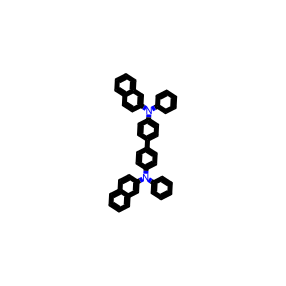 C1=CCC(N(c2ccc(-c3ccc(N(c4ccccc4)c4ccc5ccccc5c4)cc3)cc2)c2ccc3ccccc3c2)C=C1